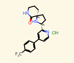 Cl.O=C1NCCC[C@@]12CC[C@H](c1cc(-c3ccc(C(F)(F)F)cc3)ccn1)N2